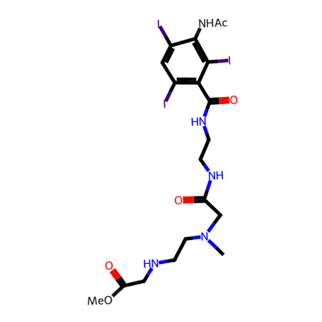 COC(=O)CNCCN(C)CC(=O)NCCNC(=O)c1c(I)cc(I)c(NC(C)=O)c1I